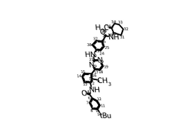 Cc1c(NC(=O)c2ccc(C(C)(C)C)cc2)cccc1-c1ccnc(Nc2ccc(C(=O)NC3CCCCC3C)cc2)n1